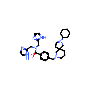 O=C(c1ccc(CN2CCCC3(CCN(C4CCCCC4)C3)C2)cc1)N(Cc1ncc[nH]1)Cc1ncc[nH]1